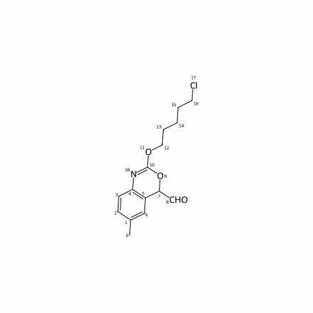 Cc1ccc2c(c1)C(C=O)OC(OCCCCCCl)=N2